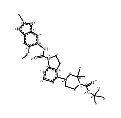 COc1cc2nn(C)nc2cc1NC(=O)N1CCc2c(N3CCN(C(=O)OC(C)(C)C)C(C)(C)C3)ccnc21